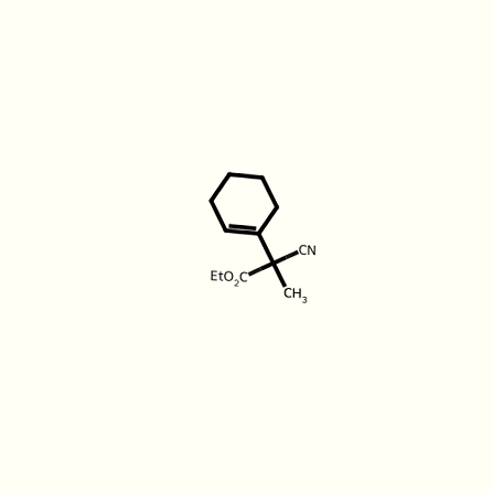 CCOC(=O)C(C)(C#N)C1=CCCCC1